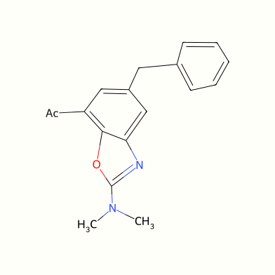 CC(=O)c1cc(Cc2ccccc2)cc2nc(N(C)C)oc12